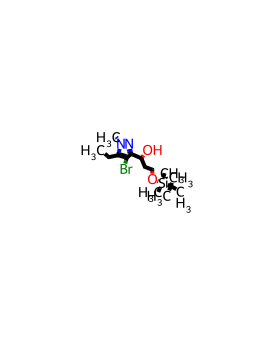 CCc1c(Br)c(C(O)CCO[Si](C)(C)C(C)(C)C)nn1C